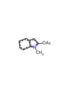 CC(=O)Oc1cc2ccccc2n1C